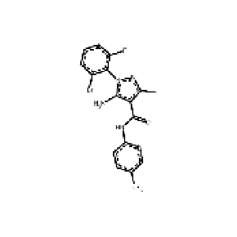 Cc1nn(-c2c(F)cccc2Br)c(N)c1C(=O)Nc1ccc(C(F)(F)F)cn1